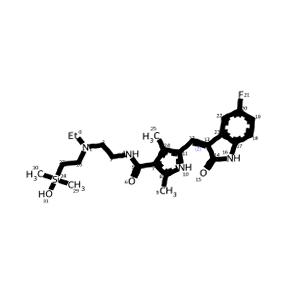 CCN(CCNC(=O)c1c(C)[nH]c(/C=C2\C(=O)Nc3ccc(F)cc32)c1C)CC[Si](C)(C)O